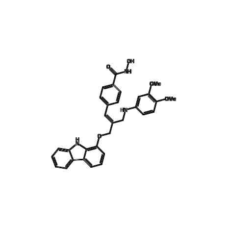 COc1ccc(NCC(=Cc2ccc(C(=O)NO)cc2)COc2cccc3c2[nH]c2ccccc23)cc1OC